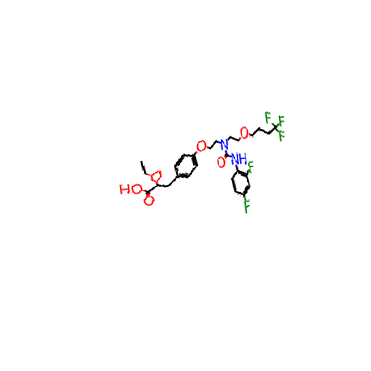 CCOC(Cc1ccc(OCCN(CCOCCCC(F)(F)F)C(=O)Nc2ccc(F)cc2F)cc1)C(=O)O